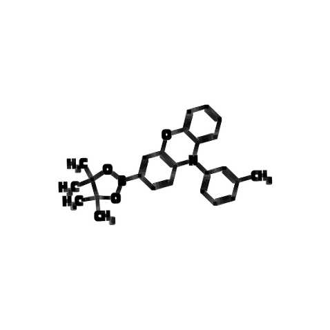 Cc1cccc(N2c3ccccc3Oc3cc(B4OC(C)(C)C(C)(C)O4)ccc32)c1